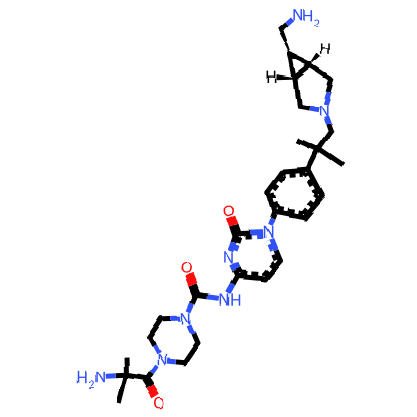 CC(C)(N)C(=O)N1CCN(C(=O)Nc2ccn(-c3ccc(C(C)(C)CN4C[C@@H]5[C@@H](CN)[C@@H]5C4)cc3)c(=O)n2)CC1